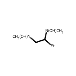 CCC(CN(C)O)N(C)O